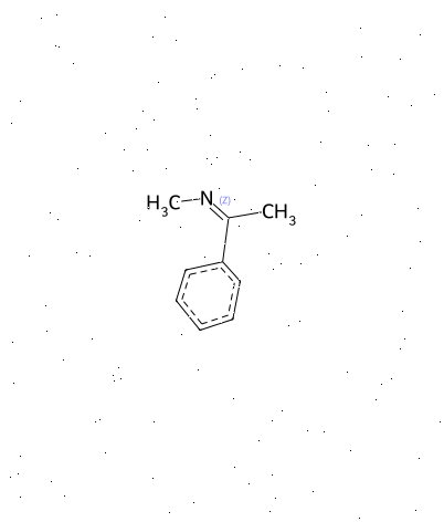 C/N=C(/C)c1ccccc1